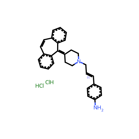 Cl.Cl.Nc1ccc(/C=C/CN2CCC(=C3c4ccccc4C=Cc4ccccc43)CC2)cc1